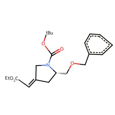 CCOC(=O)C=C1C[C@@H](COCc2ccccc2)N(C(=O)OC(C)(C)C)C1